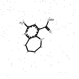 COC(=O)c1cc(N)nc2c1OCCCC2